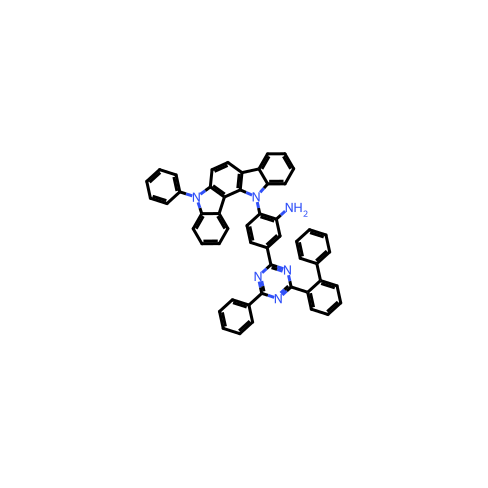 Nc1cc(-c2nc(-c3ccccc3)nc(-c3ccccc3-c3ccccc3)n2)ccc1-n1c2ccccc2c2ccc3c(c4ccccc4n3-c3ccccc3)c21